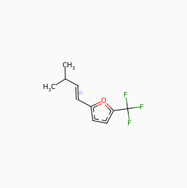 CC(C)/C=C/c1ccc(C(F)(F)F)o1